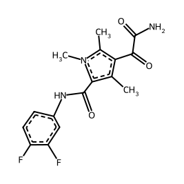 Cc1c(C(=O)C(N)=O)c(C)n(C)c1C(=O)Nc1ccc(F)c(F)c1